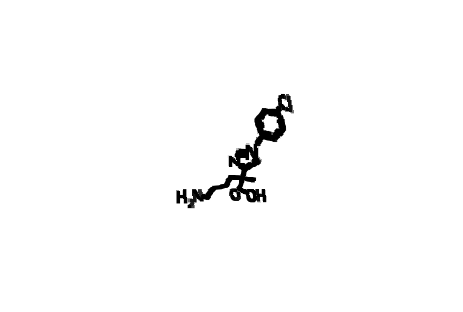 CC(CCCCN)(C(=O)O)c1cn(-c2ccc(Cl)cc2)cn1